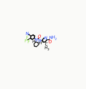 Cc1cc(N2C(=O)N(c3ccc(C#N)c(C(F)(F)F)c3)[C@H]3CCCC[C@@H]32)cnc1C(N)=O